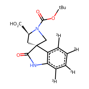 [2H]c1c([2H])c([2H])c2c(c1[2H])NC(=O)[C@]21C[C@@H](C(=O)O)N(C(=O)OC(C)(C)C)C1